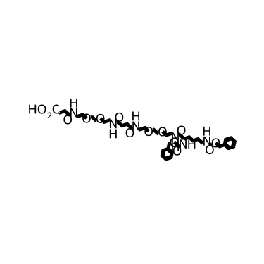 O=C(O)CCC(=O)NCCOCCOCCNC(=O)CCC(=O)NCCOCCOCCNC(=O)C(CCCCNC(=O)OCc1ccccc1)NC(=O)OCc1ccccc1